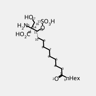 CCCCCCC(=O)CCCCCCCC[C@@H](OS(=O)(=O)O)[C@@](N)(CO)C(=O)O